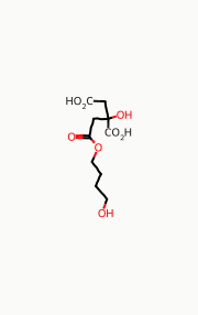 O=C(O)CC(O)(CC(=O)OCCCCO)C(=O)O